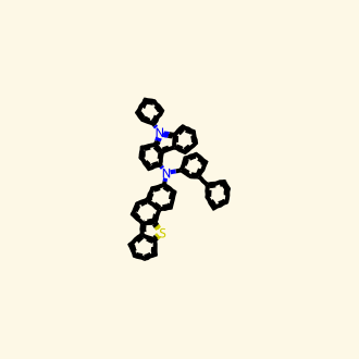 c1ccc(-c2cccc(N(c3ccc4c(ccc5c6ccccc6sc45)c3)c3cccc4c3c3ccccc3n4-c3ccccc3)c2)cc1